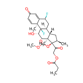 CCC(=O)OCC(=O)[C@@]1(OC(=O)OC)[C@H](C)C[C@H]2[C@@H]3C[C@H](F)C4=CC(=O)C=C[C@]4(C)[C@@]3(F)[C@@H](O)C[C@@]21C